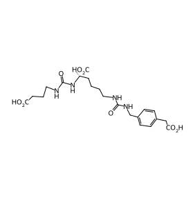 O=C(O)CCCNC(=O)N[C@@H](CCCCNC(=O)NCc1ccc(CC(=O)O)cc1)C(=O)O